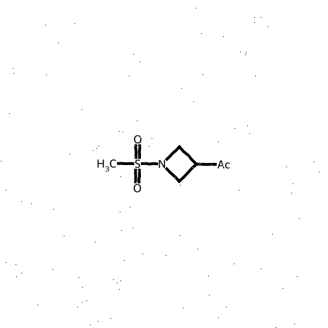 CC(=O)C1CN(S(C)(=O)=O)C1